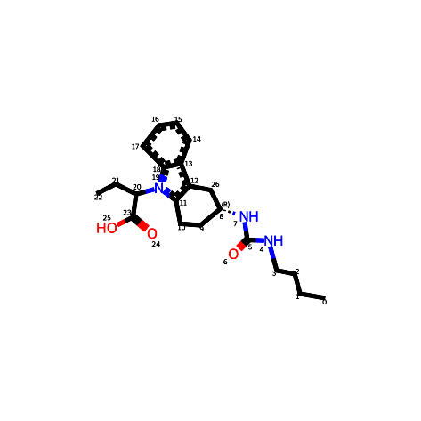 CCCCNC(=O)N[C@@H]1CCc2c(c3ccccc3n2C(CC)C(=O)O)C1